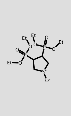 CCOP(=O)(OCC)C1C[S+]([O-])CC1P(=O)(OCC)OCC